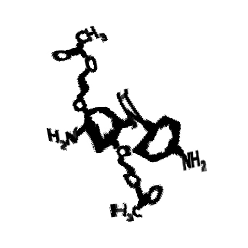 CC(=O)OCCOc1cc(Nc2ccc(N)cc2)c(OCCOC(C)=O)cc1N